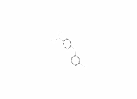 CN(C)c1ccc(Oc2cccc(O)c2)nn1